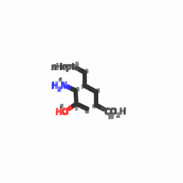 CC(O)CN.CCCCCCCCCCCC(=O)O